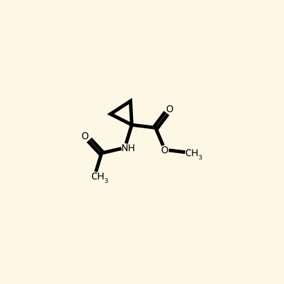 COC(=O)C1(NC(C)=O)CC1